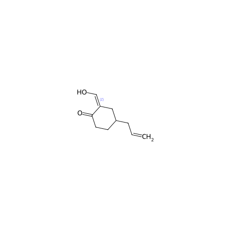 C=CCC1CCC(=O)/C(=C\O)C1